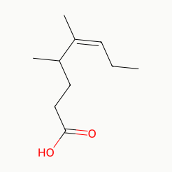 CCC=C(C)C(C)CCC(=O)O